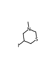 CN1CSCC(I)C1